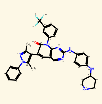 Cc1nn(-c2ccccc2)c(C)c1-c1cc2cnc(Nc3ccc(NC4CCNCC4)cc3)nc2n(-c2cccc(C(F)(F)F)c2)c1=O